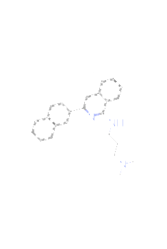 Cc1cccc2c(NCCCN(C)C)nc(-c3ccc4ccccc4c3)cc12